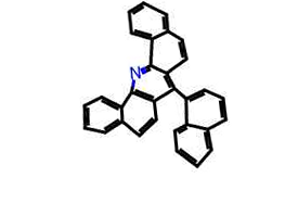 c1ccc2c(-c3c4ccc5ccccc5c4nc4c3ccc3ccccc34)cccc2c1